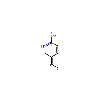 C/C=C(C)\C=C/C(=N)C(C)CC